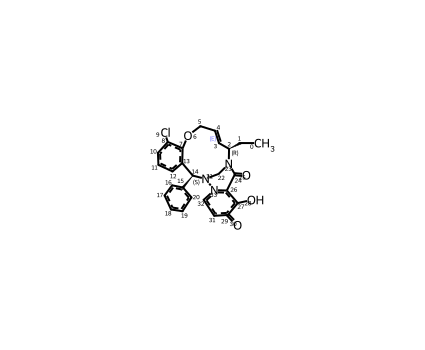 CC[C@@H]1/C=C/COc2c(Cl)cccc2[C@H](c2ccccc2)N2CN1C(=O)c1c(O)c(=O)ccn12